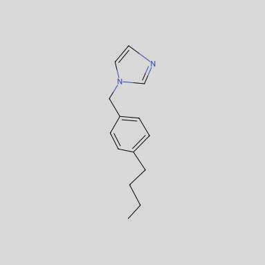 CCCCc1ccc(Cn2ccnc2)cc1